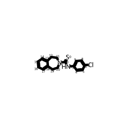 S=C(Nc1ccc(Cl)cc1)N1CCc2ccccc2CC1